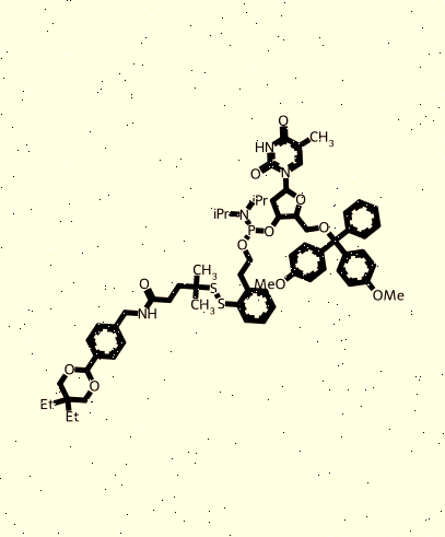 CCC1(CC)COC(c2ccc(CNC(=O)CCC(C)(C)SSc3ccccc3CCOP(OC3CC(n4cc(C)c(=O)[nH]c4=O)OC3COC(c3ccccc3)(c3ccc(OC)cc3)c3ccc(OC)cc3)N(C(C)C)C(C)C)cc2)OC1